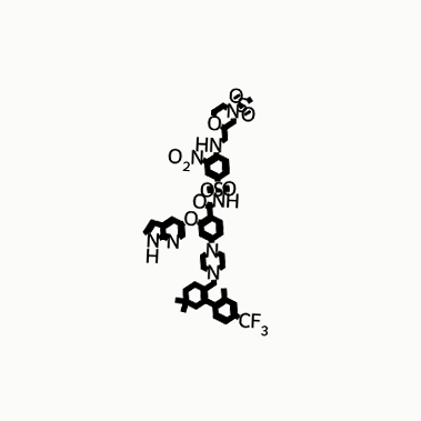 Cc1cc(C(F)(F)F)ccc1C1=C(CN2CCN(c3ccc(C(=O)NS(=O)(=O)c4ccc(NCC5CN(S(C)(=O)=O)CCO5)c([N+](=O)[O-])c4)c(Oc4cnc5[nH]ccc5c4)c3)CC2)CCC(C)(C)C1